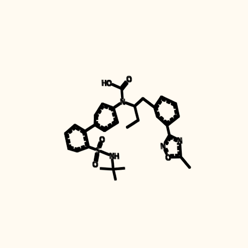 CCC(Cc1cccc(-c2noc(C)n2)c1)N(C(=O)O)c1ccc(-c2ccccc2S(=O)(=O)NC(C)(C)C)cc1